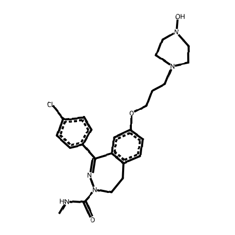 CNC(=O)N1CCc2ccc(OCCCN3CCN(O)CC3)cc2C(c2ccc(Cl)cc2)=N1